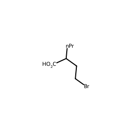 CCCC(CCBr)C(=O)O